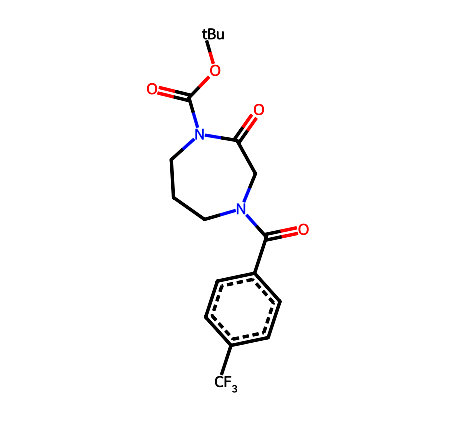 CC(C)(C)OC(=O)N1CCCN(C(=O)c2ccc(C(F)(F)F)cc2)CC1=O